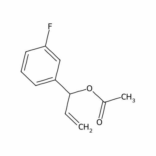 C=CC(OC(C)=O)c1cccc(F)c1